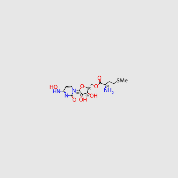 CSCC[C@@H](N)C(=O)OC[C@H]1O[C@@H](n2ccc(NO)nc2=O)[C@H](O)[C@@H]1O